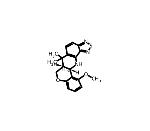 COc1cccc2c1[C@H]1Nc3c(ccc4nsnc34)C(C)(C)[C@H]1CO2